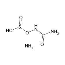 N.NC(=O)NOS(=O)O